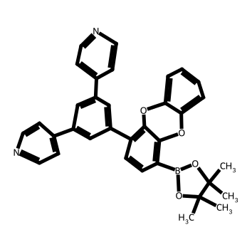 CC1(C)OB(c2ccc(-c3cc(-c4ccncc4)cc(-c4ccncc4)c3)c3c2Oc2ccccc2O3)OC1(C)C